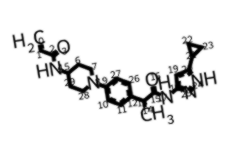 C=CC(=O)NC1CCN(c2ccc(C(C)C(=O)Nc3cc(C4CC4)[nH]n3)cc2)CC1